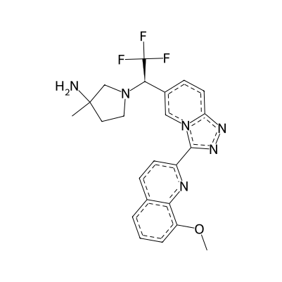 COc1cccc2ccc(-c3nnc4ccc([C@@H](N5CCC(C)(N)C5)C(F)(F)F)cn34)nc12